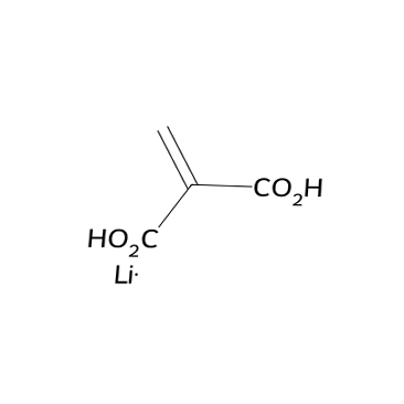 C=C(C(=O)O)C(=O)O.[Li]